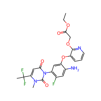 CCOC(=O)COc1ncccc1Oc1cc(-n2c(=O)cc(C(C)(F)F)n(C)c2=O)c(F)cc1N